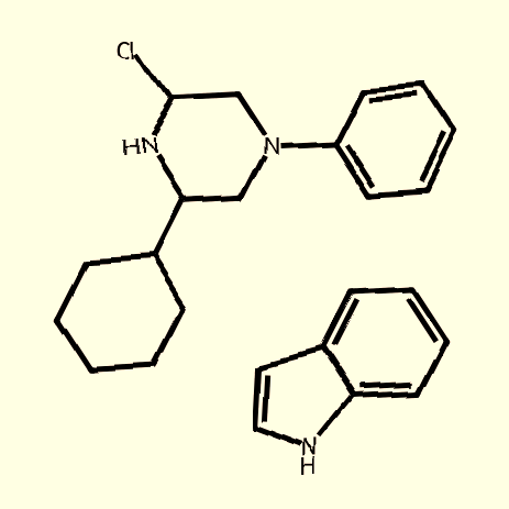 ClC1CN(c2ccccc2)CC(C2CCCCC2)N1.c1ccc2[nH]ccc2c1